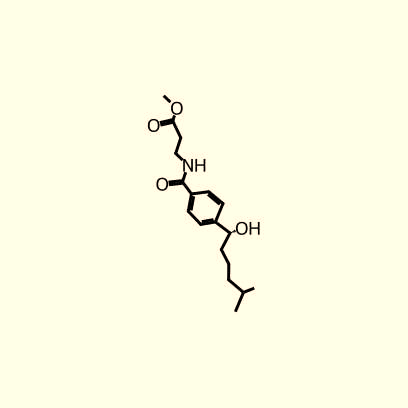 COC(=O)CCNC(=O)c1ccc([C@H](O)CCCC(C)C)cc1